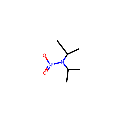 CC(C)N(C(C)C)[N+](=O)[O-]